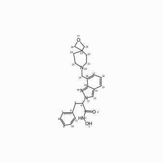 O=C(NO)C(Cc1ccccc1)n1cc2cccc(CN3CCC4(CC3)COC4)c2n1